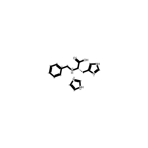 O=C(O)[C@H](Cc1c[nH]cn1)NCc1ccccc1.c1c[nH]cn1